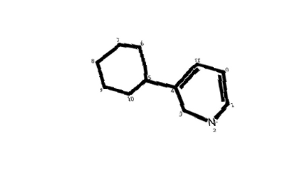 C1=C[N]CC(C2CCCCC2)=C1